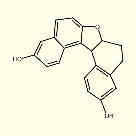 Oc1ccc2c(c1)CCC1Oc3ccc4cc(O)ccc4c3C21